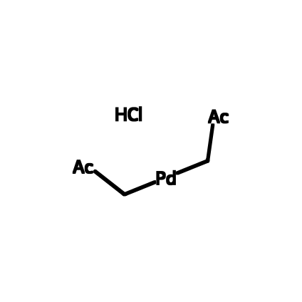 CC(=O)[CH2][Pd][CH2]C(C)=O.Cl